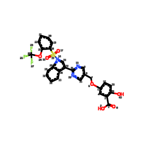 O=C(O)c1cc(OCc2cnc(-c3cn(S(=O)(=O)c4ccccc4OC(F)(F)F)c4ccccc34)nc2)ccc1O